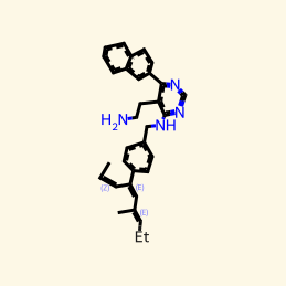 C\C=C/C(=C\C(C)=C\CC)c1ccc(CNc2ncnc(-c3ccc4ccccc4c3)c2CCN)cc1